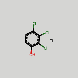 Oc1ccc(Cl)c(Cl)c1Cl.[Ti]